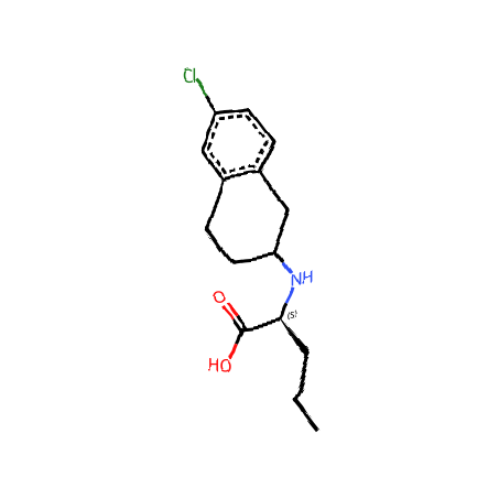 CCC[C@H](NC1CCc2cc(Cl)ccc2C1)C(=O)O